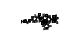 O=C(O)C1CCC(C(=O)N2CCC3(S(=O)(=O)c4ccccc4)c4ccc(C(F)(C(F)(F)F)C(F)(F)F)cc4OCC23)CC1